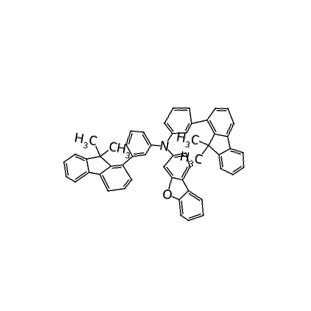 CC1(C)c2ccccc2-c2cccc(-c3cccc(N(c4cccc(-c5cccc6c5C(C)(C)c5ccccc5-6)c4)c4ccc5c(c4)oc4ccccc45)c3)c21